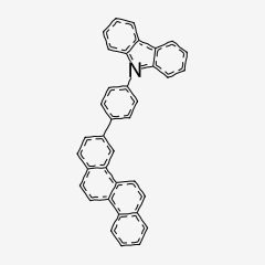 c1ccc2c(c1)ccc1c3cc(-c4ccc(-n5c6ccccc6c6ccccc65)cc4)ccc3ccc21